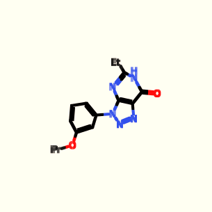 CCc1nc2c(nnn2-c2cccc(OC(C)C)c2)c(=O)[nH]1